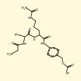 CC(C)C(=O)OCc1ccc(NC(=O)C(CCCNC(N)=O)NC(=O)C(NC(=O)CN)C(C)C)cc1